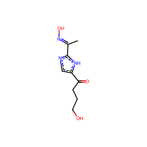 C/C(=N\O)c1ncc(C(=O)CCCO)[nH]1